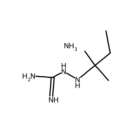 CCC(C)(C)NNC(=N)N.N